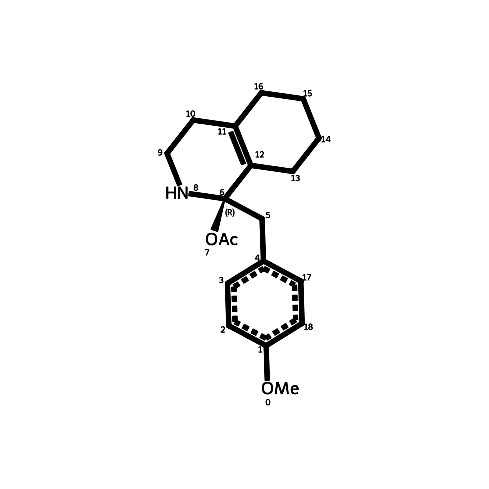 COc1ccc(C[C@]2(OC(C)=O)NCCC3=C2CCCC3)cc1